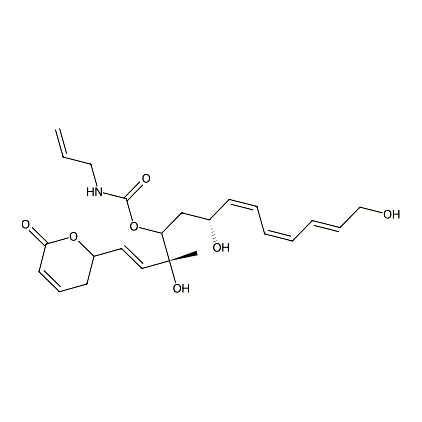 C=CCNC(=O)OC(C[C@@H](O)\C=C/C=C\C=C\CO)[C@](C)(O)/C=C/C1CC=CC(=O)O1